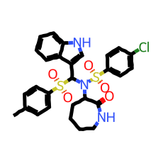 Cc1ccc(S(=O)(=O)C(c2c[nH]c3ccccc23)N(C2CCCCNC2=O)S(=O)(=O)c2ccc(Cl)cc2)cc1